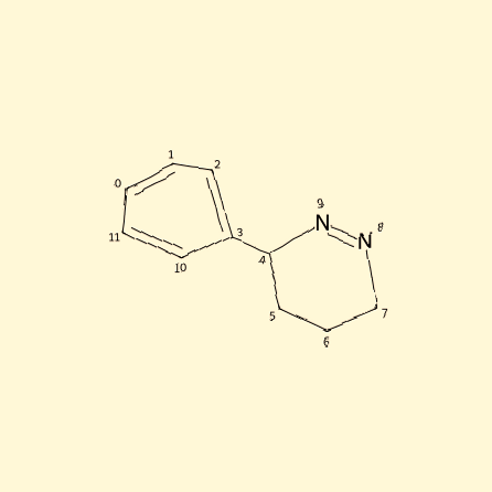 c1ccc(C2CCCN=N2)cc1